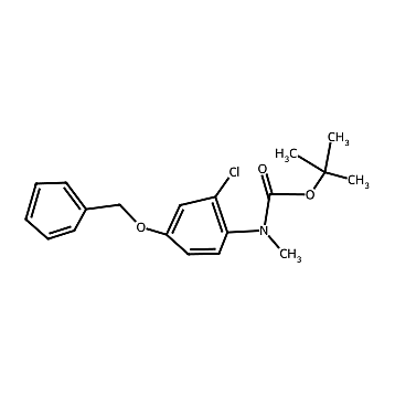 CN(C(=O)OC(C)(C)C)c1ccc(OCc2ccccc2)cc1Cl